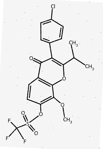 COc1c(OS(=O)(=O)C(F)(F)F)ccc2c(=O)c(-c3ccc(Cl)cc3)c(C(C)C)oc12